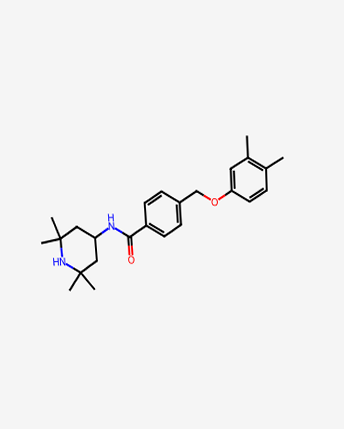 Cc1ccc(OCc2ccc(C(=O)NC3CC(C)(C)NC(C)(C)C3)cc2)cc1C